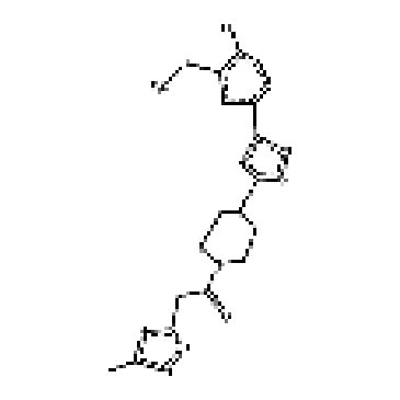 Cc1noc(CC(=O)N2CCC(c3nc(-c4ccc(Cl)c(OC(F)(F)F)c4)no3)CC2)n1